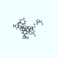 CCCCCCC(C)(C)c1cc(O)cc(OC(C)(C)C2CCCC[C@@H]2I)n1